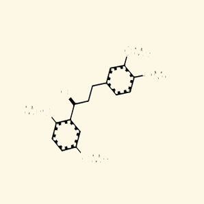 COc1ccc(OC)c(C(=O)CCc2ccc(OC)c(OC)c2)c1